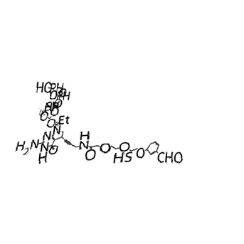 CC[C@@H](OC(OPO[PH](=O)OPO)O[C@H](C)S)N1CC(C#CCNC(=O)COCCOC(S)COC2C=C(C=O)C=CC2)c2c1nc(N)[nH]c2=O